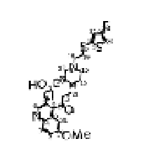 COc1ccc2ncc(Cl)c(C(=O)CC[C@H]3CCN(CCSc4cc(F)cs4)C[C@H]3C(=O)O)c2c1